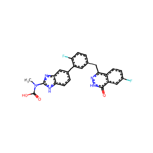 CN(C(=O)O)c1nc2cc(-c3cc(Cc4n[nH]c(=O)c5cc(F)ccc45)ccc3F)ccc2[nH]1